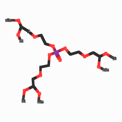 CCCCOC(COCCOP(=O)(OCCOCC(OCC)OCCCC)OCCOCC(OCC)OCCCC)OCC